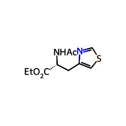 CCOC(=O)[C@@H](Cc1cscn1)NC(C)=O